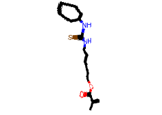 C=C(C)C(=O)OCCCCCNC(=S)NC1CCCCC1